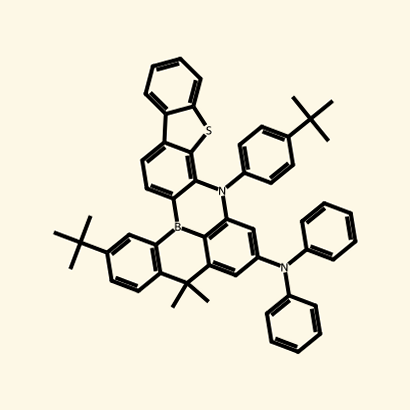 CC(C)(C)c1ccc(N2c3cc(N(c4ccccc4)c4ccccc4)cc4c3B(c3cc(C(C)(C)C)ccc3C4(C)C)c3ccc4c(sc5ccccc54)c32)cc1